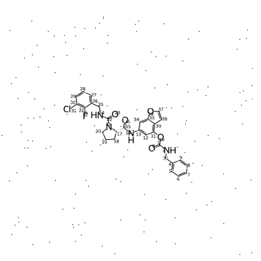 O=C(NCc1ccccc1)Oc1cc(NC(=O)[C@@H]2CCCN2C(=O)NCc2cccc(Cl)c2F)cc2occc12